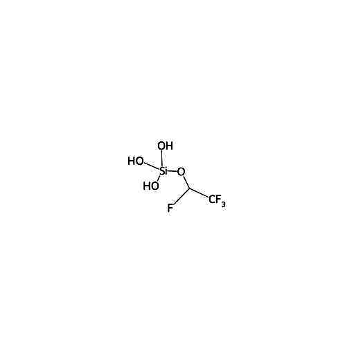 O[Si](O)(O)OC(F)C(F)(F)F